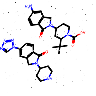 CC(C)(C)C1CC(N2Cc3cc(N)ccc3C2=O)CCN1C(=O)O.O=C1c2ccc(-n3cnnn3)cc2CN1C1CCNCC1